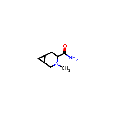 CN1CC2CC2CC1C(N)=O